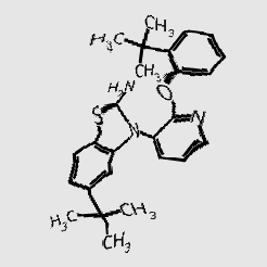 CC(C)(C)c1ccc2c(c1)N(c1cccnc1Oc1ccccc1C(C)(C)C)C(N)S2